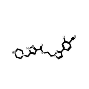 N#Cc1ccc(-c2ccn(CCNC(=O)c3cc(CN4CCNCC4)[nH]n3)n2)cc1Cl